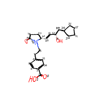 O=C(O)c1ccc(CCN2C(=O)CC[C@@H]2C=C[C@@H](O)CC2CCCC2)cc1